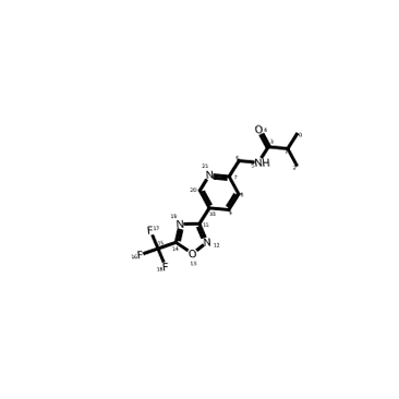 CC(C)C(=O)NCc1ccc(-c2noc(C(F)(F)F)n2)cn1